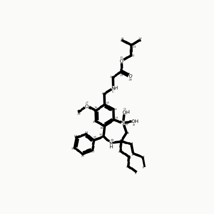 CCCCC1(CCCC)CS(O)(O)c2cc(CNCC(=O)OCC(C)C)c(OC)cc2C(c2ccccc2)N1